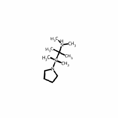 C[SiH](C)C(C)(C)[Si](C)(C)N1CCCC1